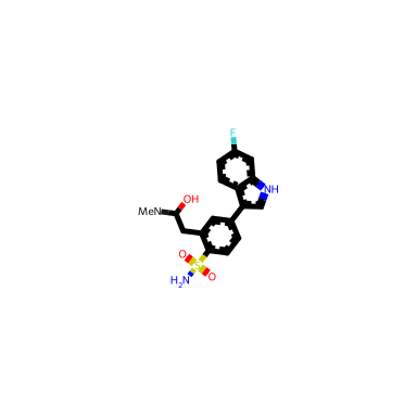 CNC(O)Cc1cc(-c2c[nH]c3cc(F)ccc23)ccc1S(N)(=O)=O